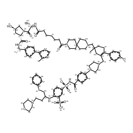 Cc1ncsc1-c1ccc([C@H](C)NC(=O)[C@@H]2C[C@@H](O)CN2C(=O)[C@@H](NC(=O)CCCCCC(=O)N2CCC3(CCN(CC4(C)CCC(c5ccc(Cl)cc5)=C(CN5CCN(c6ccc(C(=O)NS(=O)(=O)c7ccc(NC(CCN8CCOCC8)CSc8ccccc8)c(S(=O)(=O)C(F)(F)F)c7)cc6)CC5)C4)CC3)CC2)C(C)(C)C)cc1